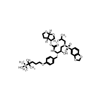 CC(C)CN(C[C@@H](O)[C@H](Cc1ccc(OCCCC(C)(C)[Si](C)(C)O)cc1)NC(=O)O[C@H]1CO[C@H]2OCC[C@H]21)S(=O)(=O)c1ccc2c(c1)OCO2